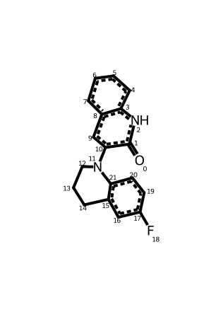 O=c1[nH]c2ccccc2cc1N1CCCc2cc(F)ccc21